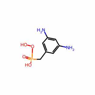 Nc1cc(N)cc(CP(=O)(O)OO)c1